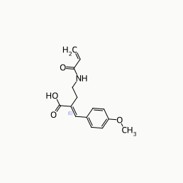 C=CC(=O)NCC/C(=C\c1ccc(OC)cc1)C(=O)O